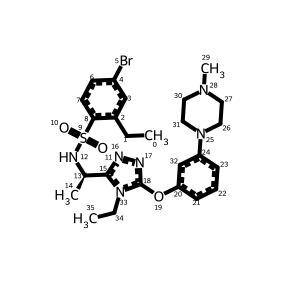 CCc1cc(Br)ccc1S(=O)(=O)N[C@H](C)c1nnc(Oc2cccc(N3CCN(C)CC3)c2)n1CC